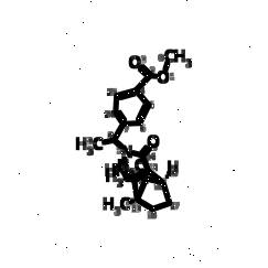 COC(=O)c1ccc(C(C)n2[nH]c3c(c2=O)[C@H]2CC[C@]3(C)C2(C)C)cc1